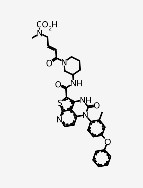 Cc1cc(Oc2ccccc2)ccc1N1C(=O)Nc2c(C(=O)NC3CCCN(C(=O)C=CCN(C)C(=O)O)C3)sc3nccc1c23